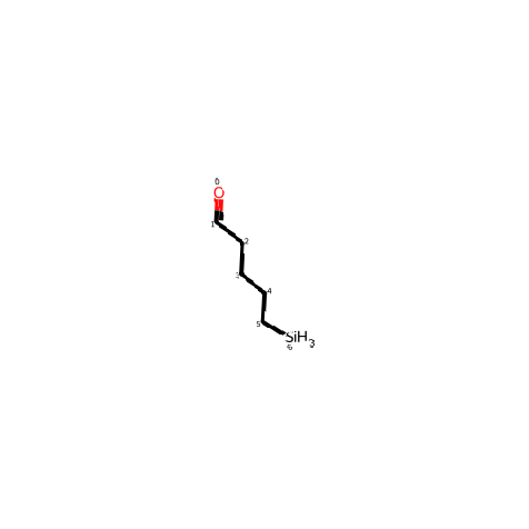 O=CCCCC[SiH3]